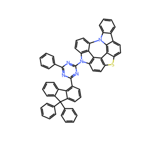 c1ccc(-c2nc(-c3cccc4c3-c3ccccc3C4(c3ccccc3)c3ccccc3)nc(-n3c4ccc5sc6ccc7c8ccccc8n8c9cccc3c9c4c5c6c78)n2)cc1